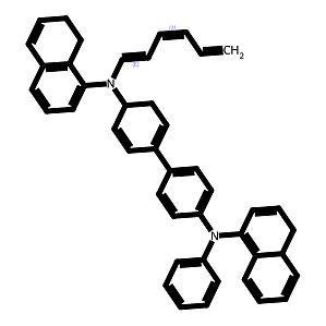 C=C/C=C\C=C\N(c1cccc2c1CCC=C2)C1C=CC(c2ccc(N(C3=C4C=CC=CC4CC=C3)c3ccccc3)cc2)=CC1